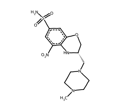 CN1CCN(C[C@H]2COc3cc(S(N)(=O)=O)cc([N+](=O)[O-])c3N2)CC1